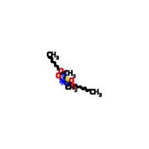 CCCCCCCCOC(=O)N(C)c1nnc(N(C)C(=O)OCCCCCCCC)s1